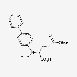 COC(=O)CC[C@@H](C(=O)O)N(C=O)c1ccc(-c2ccccc2)cc1